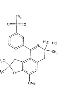 COc1cc2c(c3c1OC(C)(C)C3)C(c1cccc(S(C)(=O)=O)c1)=NC(C)(C)C2.Cl